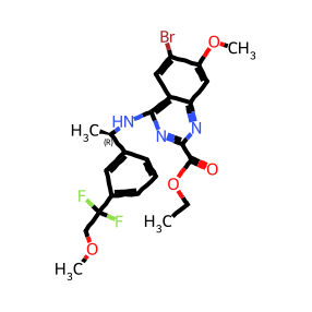 CCOC(=O)c1nc(N[C@H](C)c2cccc(C(F)(F)COC)c2)c2cc(Br)c(OC)cc2n1